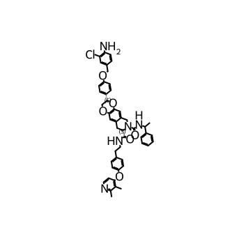 Cc1nccc(Oc2ccc(CCNC(=O)[C@@H]3Cc4cc5c(cc4CN3C(=O)NC(C)c3ccccc3)O[C@@H](c3ccc(OCc4ccc(N)c(Cl)c4)cc3)CO5)cc2)c1C